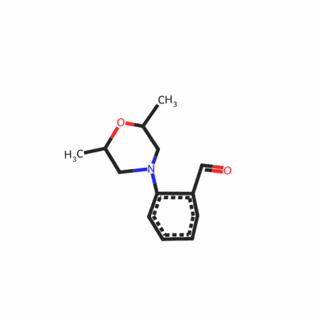 CC1CN(c2ccccc2C=O)CC(C)O1